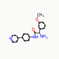 COc1cccc(C(N)C(=O)Nc2ccc(-c3ccncc3)cc2)c1